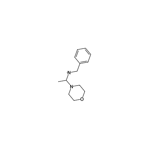 CC([N]Cc1ccccc1)N1CCOCC1